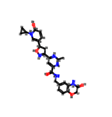 Cc1nc(C(=O)NCc2ccc3c(c2)NC(=O)CO3)cc(C2=NOC(c3ccc(=O)n(C4CC4)c3)C2)n1